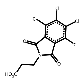 O=C(O)CCN1C(=O)c2c(Cl)c(Cl)c(Cl)c(Cl)c2C1=O